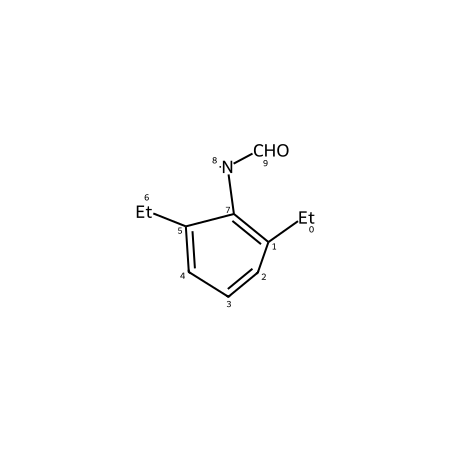 CCc1cccc(CC)c1[N]C=O